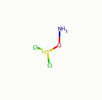 NO[SH](Cl)Cl